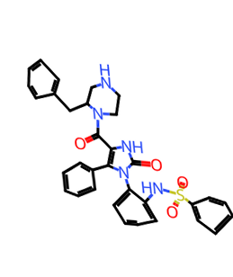 O=C(c1[nH]c(=O)n(-c2ccccc2NS(=O)(=O)c2ccccc2)c1-c1ccccc1)N1CCNCC1Cc1ccccc1